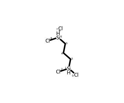 Cl[SiH](Cl)CCC[SiH](Cl)Cl